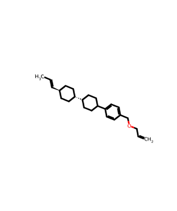 C=CCOCc1ccc(C2CCC([C@H]3CC[C@H](/C=C/C)CC3)CC2)cc1